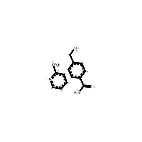 NC(=O)c1ccc(CO)cc1.O=C(O)c1ccccn1